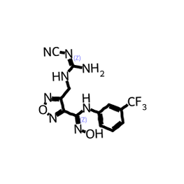 N#C/N=C(/N)NCc1nonc1/C(=N/O)Nc1cccc(C(F)(F)F)c1